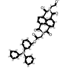 O=CCN1C(=O)c2ccc3c4c(ccc(c24)C1=O)C(=O)N(CC(=O)Oc1cccc(N(c2ccccc2)c2ccccc2)c1)C3=O